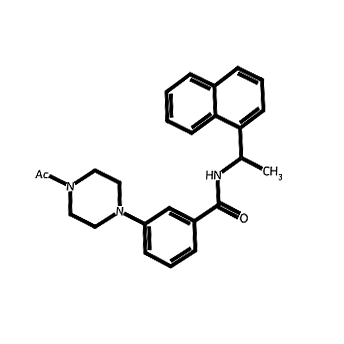 CC(=O)N1CCN(c2cccc(C(=O)NC(C)c3cccc4ccccc34)c2)CC1